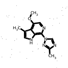 COc1cnc(-n2cnc(C)n2)c2[nH]cc(C)c12